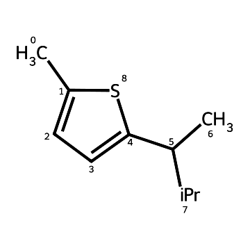 Cc1ccc(C(C)C(C)C)s1